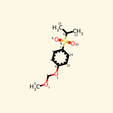 COCOc1ccc(S(=O)(=O)C(C)C)cc1